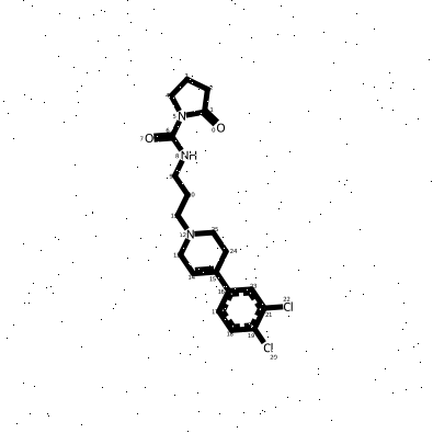 O=C1CCCN1C(=O)NCCCN1CC=C(c2ccc(Cl)c(Cl)c2)CC1